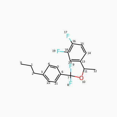 CCCc1ccc(C(F)(F)OC(C)c2ccc(F)c(F)c2)cc1